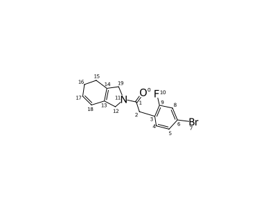 O=C(Cc1ccc(Br)cc1F)N1CC2=C(CCC=C2)C1